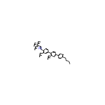 CCCCc1ccc(-c2ccc(-c3ccc(/C=C/C(F)(F)F)c(F)c3)c(F)c2)cc1